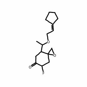 CC(OCC=C1CCCC1)C1CC(=O)C(F)CC12CO2